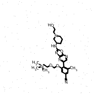 Cc1cc(C#N)cc(OCOCC[Si](C)(C)C)c1-c1cnc2oc(N[C@@H]3CCCN(CCO)C3)nc2n1